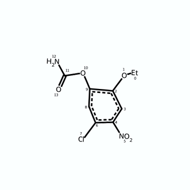 CCOc1cc([N+](=O)[O-])c(Cl)cc1OC(N)=O